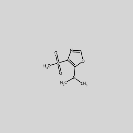 CN(C)c1ocnc1S(C)(=O)=O